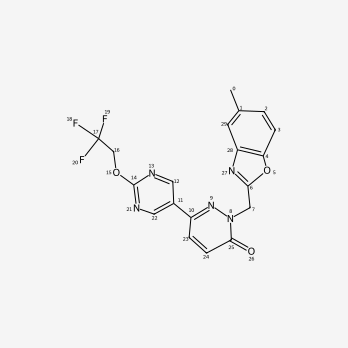 Cc1ccc2oc(Cn3nc(-c4cnc(OCC(F)(F)F)nc4)ccc3=O)nc2c1